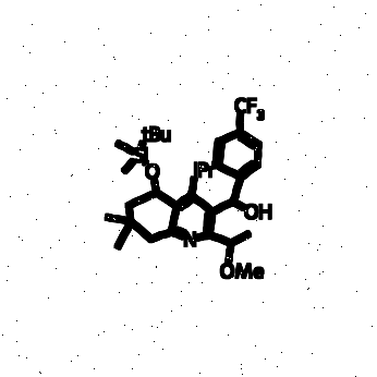 COC(C)c1nc2c(c(C(C)C)c1C(O)c1ccc(C(F)(F)F)cc1)C(O[Si](C)(C)C(C)(C)C)CC(C)(C)C2